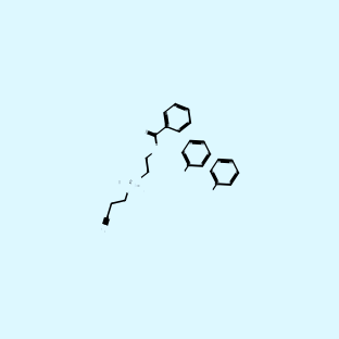 CCCC#N.CCCCCCCCCCCCOC(=O)c1ccccc1.O=C(O)c1ccccc1.O=C(O)c1ccccc1